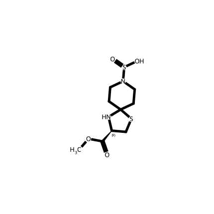 COC(=O)[C@@H]1CSC2(CCN(S(=O)O)CC2)N1